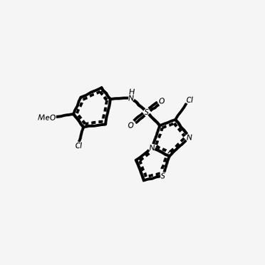 COc1ccc(NS(=O)(=O)c2c(Cl)nc3sccn23)cc1Cl